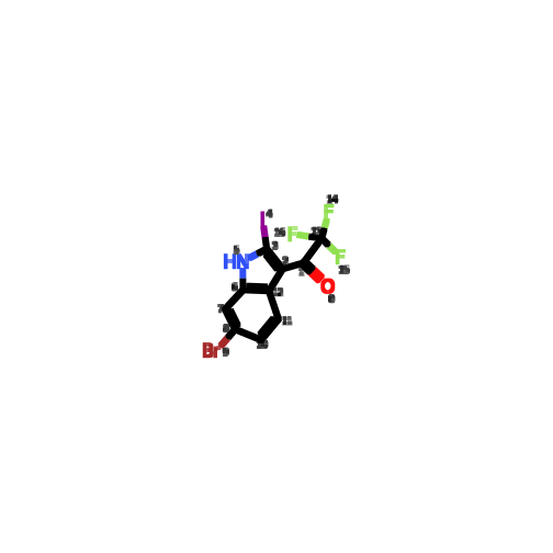 O=C(c1c(I)[nH]c2cc(Br)ccc12)C(F)(F)F